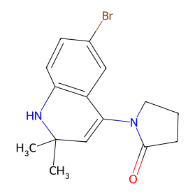 CC1(C)C=C(N2CCCC2=O)c2cc(Br)ccc2N1